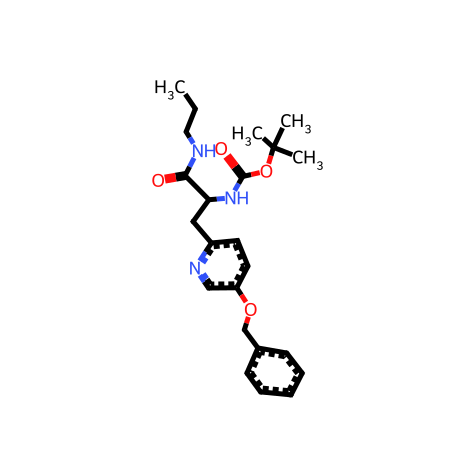 CCCNC(=O)C(Cc1ccc(OCc2ccccc2)cn1)NC(=O)OC(C)(C)C